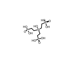 O=P(O)(O)CC[Si](O)(CCP(=O)(O)O)CCP(=O)(O)O